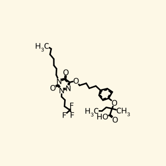 CCCCCCCn1c(=O)c(OCCCCc2ccc(OC(C)(CCC)C(=O)O)cc2)nn(CCCC(F)(F)F)c1=O